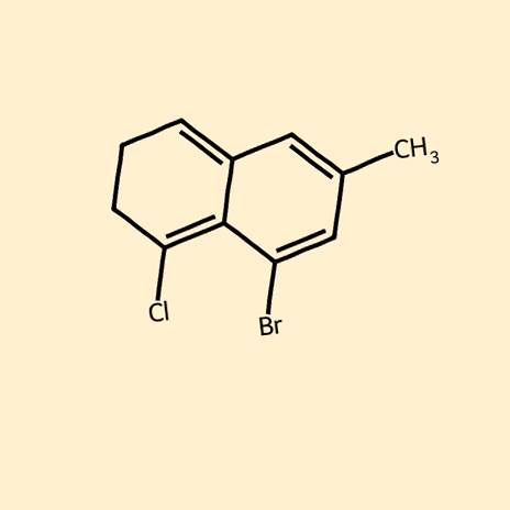 Cc1cc(Br)c2c(c1)=CCCC=2Cl